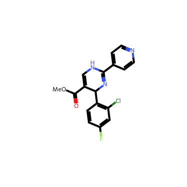 COC(=O)C1=CNC(c2ccncc2)=NC1c1ccc(F)cc1Cl